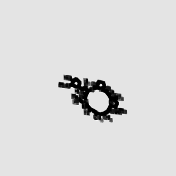 CCC1/C=C(\C)CC(C)CC(OC)C2OC(O)(C(=O)C(=O)N3CCCCC3C(=O)OC(C(C)=CC3CCC(O)C(OC)C3)C(C)C(O[Si](C(C)C)(C(C)C)C(C)C)CC1=O)C(C)CC2OC